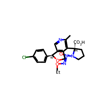 CCON=[N+]([O-])N1CCC[C@]1(C(=O)O)c1c(C)ncc2c1CO[C@H]2c1ccc(Cl)cc1